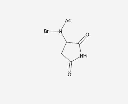 CC(=O)N(Br)C1CC(=O)NC1=O